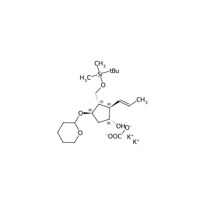 CC=C[C@@H]1[C@@H](CO[Si](C)(C)C(C)(C)C)[C@H](OC2CCCCO2)C[C@H]1O.O=C([O-])[O-].[K+].[K+]